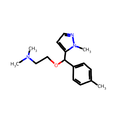 Cc1ccc(C(OCCN(C)C)c2ccnn2C)cc1